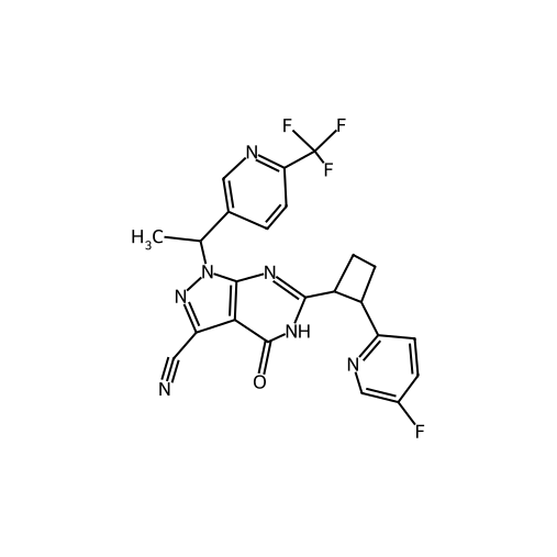 CC(c1ccc(C(F)(F)F)nc1)n1nc(C#N)c2c(=O)[nH]c(C3CCC3c3ccc(F)cn3)nc21